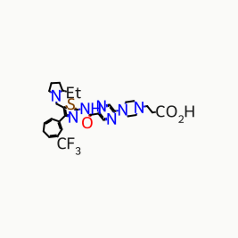 CCC1CCCN1Cc1sc(NC(=O)c2cnc(N3CCN(CCC(=O)O)CC3)cn2)nc1C1=CC(C(F)(F)F)=CCC=C1